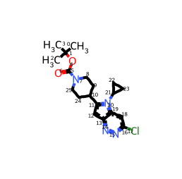 CC(C)(C)OC(=O)N1CCC(c2cc3nnc(Cl)cc3n2C2CC2)CC1